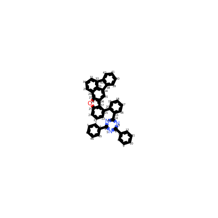 c1ccc(-c2nc(-c3ccccc3)nc(-c3ccccc3-c3cccc4oc5c6cccc7c6c(cc5c34)-c3ccccc3-7)n2)cc1